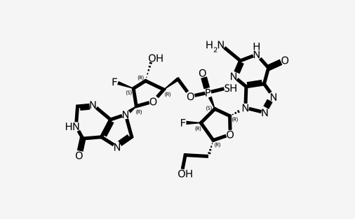 Nc1nc2c(nnn2[C@@H]2O[C@H](CCO)[C@@H](F)[C@H]2P(=O)(S)OC[C@H]2O[C@@H](n3cnc4c(=O)[nH]cnc43)[C@@H](F)[C@@H]2O)c(=O)[nH]1